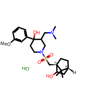 COc1cccc(C2(O)CCN(S(=O)(=O)C[C@]34CC[C@H](CC3O)C4(C)C)CC2CN(C)C)c1.Cl